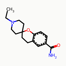 CCN1CCC2(CCc3cc(C(N)=O)ccc3O2)CC1